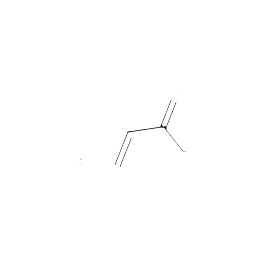 C=C[C](=O)[In].[Al].[C]